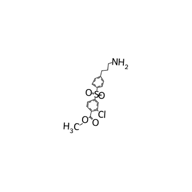 CCOC(=O)c1ccc(S(=O)(=O)c2ccc(CCCN)cc2)cc1Cl